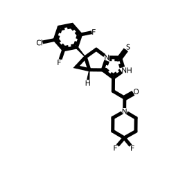 O=C(Cc1[nH]c(=S)n2c1[C@@H]1C[C@]1(c1c(F)ccc(Cl)c1F)C2)N1CCC(F)(F)CC1